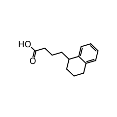 O=C(O)CCCC1CCCc2ccccc21